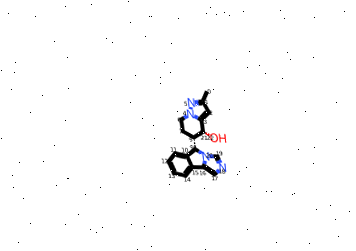 Cc1cc2n(n1)CC[C@@H](C1c3ccccc3-c3cncn31)[C@@H]2O